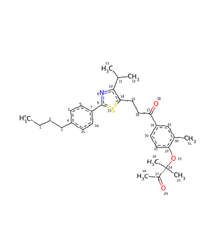 CCCCc1ccc(-c2nc(C(C)C)c(CCC(=O)c3ccc(OC(C)(C)C(C)=O)c(C)c3)s2)cc1